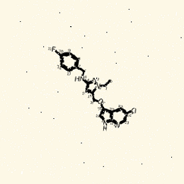 CCn1nc(NCc2ccc(F)cc2)cc1COc1c[nH]c2ncc(Cl)cc12